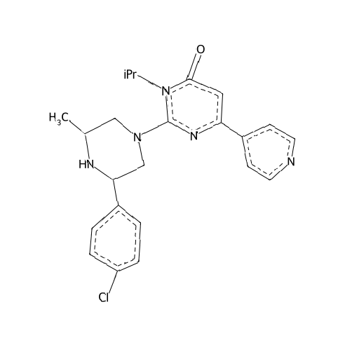 CC1CN(c2nc(-c3ccncc3)cc(=O)n2C(C)C)CC(c2ccc(Cl)cc2)N1